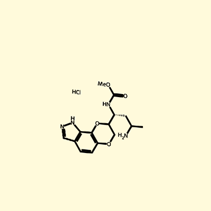 COC(=O)N[C@H](CC(C)N)C1COc2ccc3cn[nH]c3c2O1.Cl